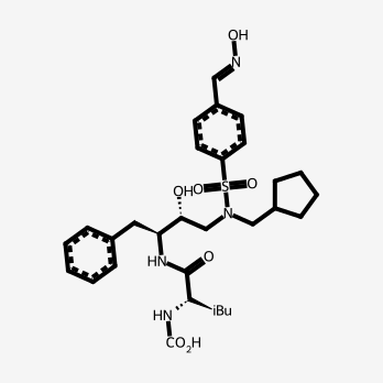 CC[C@H](C)[C@H](NC(=O)O)C(=O)N[C@@H](Cc1ccccc1)[C@H](O)CN(CC1CCCC1)S(=O)(=O)c1ccc(/C=N/O)cc1